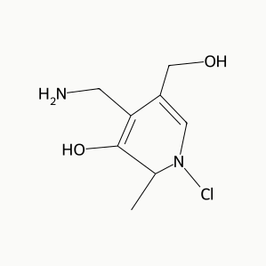 CC1C(O)=C(CN)C(CO)=CN1Cl